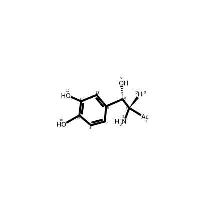 [2H][C@](N)(C(C)=O)[C@@H](O)c1ccc(O)c(O)c1